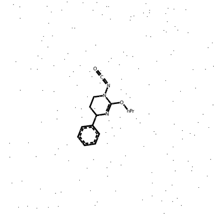 CCCOC1=NC(c2ccccc2)CCN1N=C=O